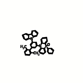 Cc1cccc(C)c1-c1cc(N2c3ccccc3P(=O)(c3ccccc3)c3ccccc32)cc(-n2c3ccccc3c3ccccc32)c1